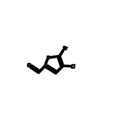 O=Cc1cc(Cl)c(Br)s1